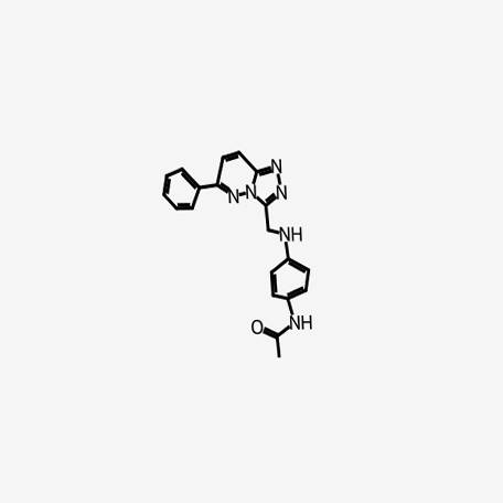 CC(=O)Nc1ccc(NCc2nnc3ccc(-c4ccccc4)nn23)cc1